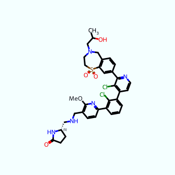 COc1nc(-c2cccc(-c3ccnc(-c4ccc5c(c4)S(=O)(=O)CCN(CC(C)O)C5)c3Cl)c2Cl)ccc1CNC[C@@H]1CCC(=O)N1